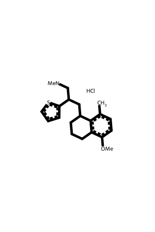 CNCC(CC1CCCc2c(OC)ccc(C)c21)c1cccs1.Cl